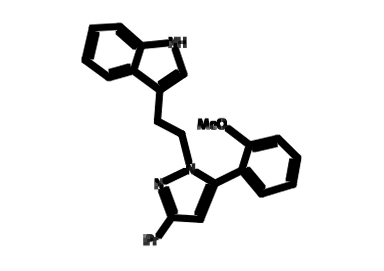 COc1ccccc1-c1cc(C(C)C)nn1CCc1c[nH]c2ccccc12